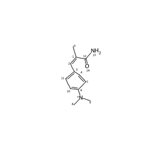 CC(=Cc1ccc(N(C)C)cc1)C(N)=O